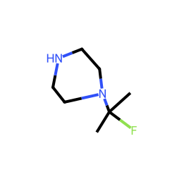 CC(C)(F)N1CCNCC1